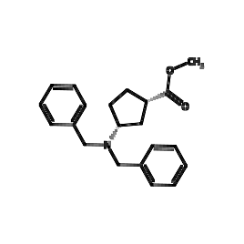 COC(=O)[C@H]1CC[C@@H](N(Cc2ccccc2)Cc2ccccc2)C1